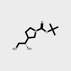 CC(C)(C)OC(=O)N1CCC([C@H](O)CO)C1